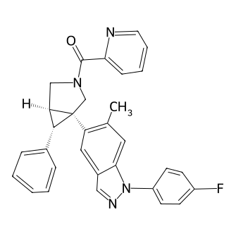 Cc1cc2c(cnn2-c2ccc(F)cc2)cc1[C@@]12CN(C(=O)c3ccccn3)C[C@@H]1[C@H]2c1ccccc1